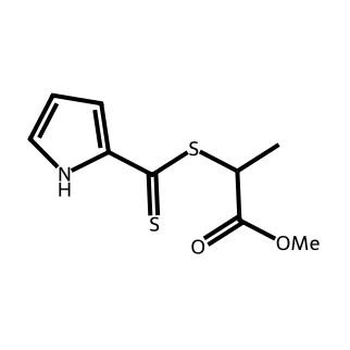 COC(=O)C(C)SC(=S)c1ccc[nH]1